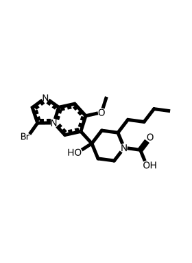 CCCCC1CC(O)(c2cn3c(Br)cnc3cc2OC)CCN1C(=O)O